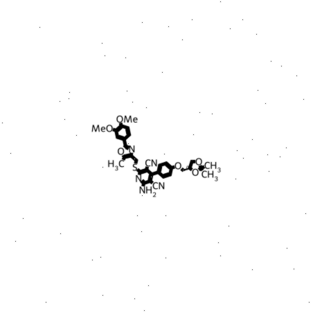 COc1ccc(-c2nc(CSc3nc(N)c(C#N)c(-c4ccc(OC[C@H]5COC(C)(C)O5)cc4)c3C#N)c(C)o2)cc1OC